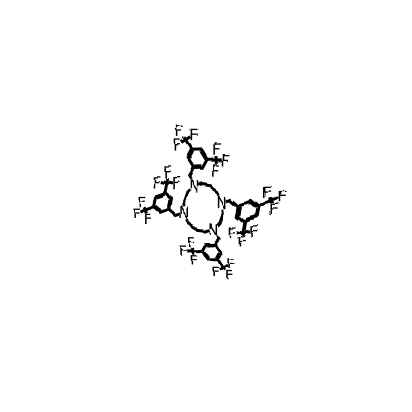 FC(F)(F)c1cc(CN2CCCN(Cc3cc(C(F)(F)F)cc(C(F)(F)F)c3)CCN(Cc3cc(C(F)(F)F)cc(C(F)(F)F)c3)CCCN(Cc3cc(C(F)(F)F)cc(C(F)(F)F)c3)CC2)cc(C(F)(F)F)c1